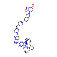 Cc1cccc(C)c1Nc1nn(C)c2nc(Nc3ccc(N4CCN(CC5CCN(c6ccc7c(c6)CN(C6CCC(=O)NC6=O)C7)CC5)CC4)nc3)ncc12